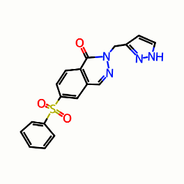 O=c1c2ccc(S(=O)(=O)c3ccccc3)cc2cnn1Cc1cc[nH]n1